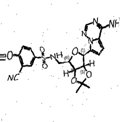 COc1ccc(S(=O)(=O)NC[C@H]2O[C@@H](c3ccc4c(N)ncnn34)[C@@H]3OC(C)(C)O[C@@H]32)cc1C#N